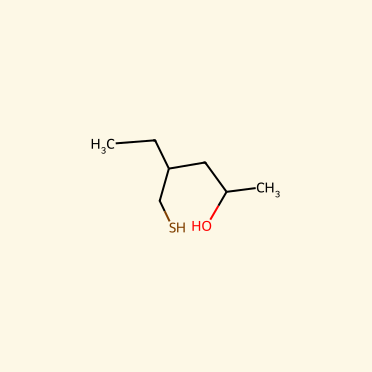 CCC(CS)CC(C)O